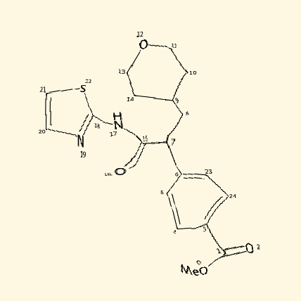 COC(=O)c1ccc(C(CC2CCOCC2)C(=O)Nc2nccs2)cc1